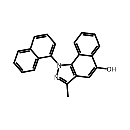 Cc1nn(-c2cccc3ccccc23)c2c1cc(O)c1ccccc12